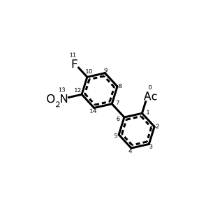 CC(=O)c1ccccc1-c1ccc(F)c([N+](=O)[O-])c1